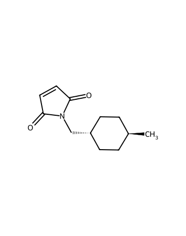 C[C@H]1CC[C@H](CN2C(=O)C=CC2=O)CC1